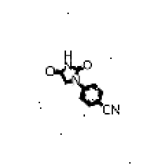 N#Cc1ccc(N2CC(=O)NC2=O)cc1